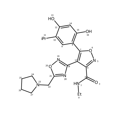 CCNC(=O)c1noc(-c2cc(C(C)C)c(O)cc2O)c1-c1noc(CN2CCCC2)n1